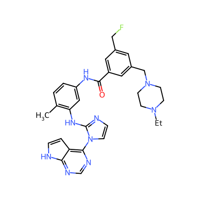 CCN1CCN(Cc2cc(CF)cc(C(=O)Nc3ccc(C)c(Nc4nccn4-c4ncnc5[nH]ccc45)c3)c2)CC1